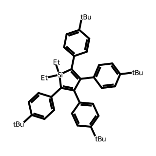 CC[Si]1(CC)C(c2ccc(C(C)(C)C)cc2)=C(c2ccc(C(C)(C)C)cc2)C(c2ccc(C(C)(C)C)cc2)=C1c1ccc(C(C)(C)C)cc1